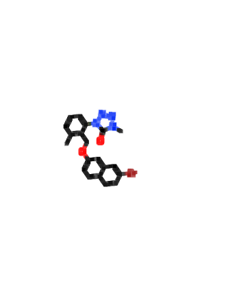 Cc1cccc(-n2nnn(C)c2=O)c1COc1ccc2ccc(Br)cc2c1